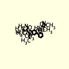 CCCC(=O)[N+](Cc1ccc(-c2ccccc2S(=O)(=O)Nc2onc(C)c2C)cc1)(C(C)C)[C@H](C(N)=O)C(C)C